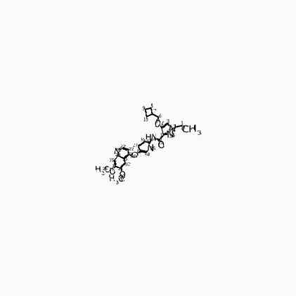 CCn1cc(OCC2CCC2)c(C(=O)Nc2ccc(Oc3ccnc4cc(OC)c(OC)cc34)cn2)n1